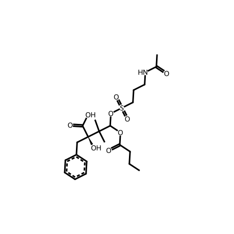 CCCC(=O)OC(OS(=O)(=O)CCCNC(C)=O)C(C)(C)[C@](O)(Cc1ccccc1)C(=O)O